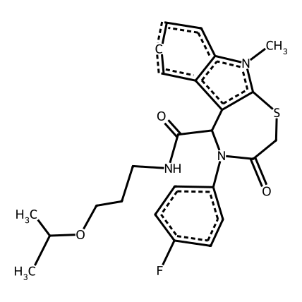 CC(C)OCCCNC(=O)C1c2c(n(C)c3ccccc23)SCC(=O)N1c1ccc(F)cc1